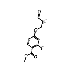 COC(=O)c1ccc(OC[C@@H](C)C=O)cc1F